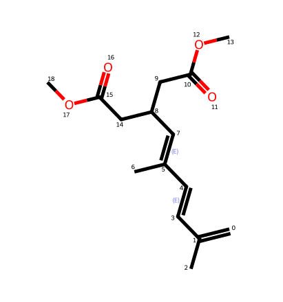 C=C(C)/C=C/C(C)=C/C(CC(=O)OC)CC(=O)OC